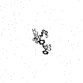 NC(=O)c1nc2cc(NCC(=O)c3ccccc3)ccc2n1CCCN1CCCC1=O